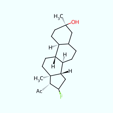 CC(=O)[C@H]1[C@H](F)C[C@H]2[C@@H]3CCC4C[C@](C)(O)CC[C@@H]4[C@H]3CC[C@@]21C